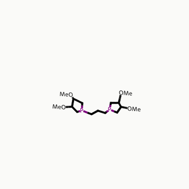 COC1CP(CCCP2CC(OC)C(OC)C2)CC1OC